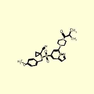 COc1ccc(CN(C2(C#N)CC2)S(=O)(=O)c2cc(N3CCN(C(=O)C(C)C)CC3)n3nccc3c2)cc1